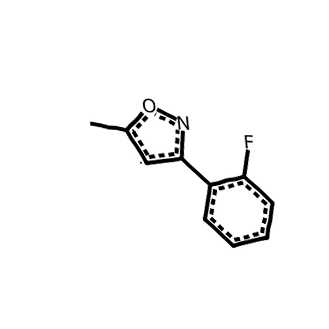 Cc1[c]c(-c2ccccc2F)no1